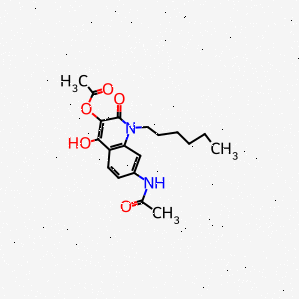 CCCCCCn1c(=O)c(OC(C)=O)c(O)c2ccc(NC(C)=O)cc21